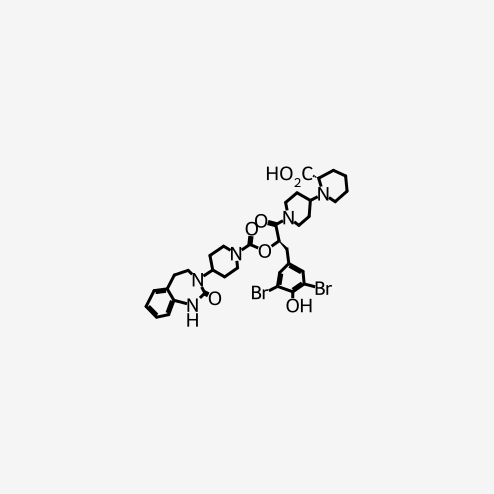 O=C(O)[C@@H]1CCCCN1C1CCN(C(=O)[C@@H](Cc2cc(Br)c(O)c(Br)c2)OC(=O)N2CCC(N3CCc4ccccc4NC3=O)CC2)CC1